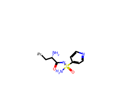 CC(C)C[C@H](N)C(=O)N=S(N)(=O)c1ccncc1